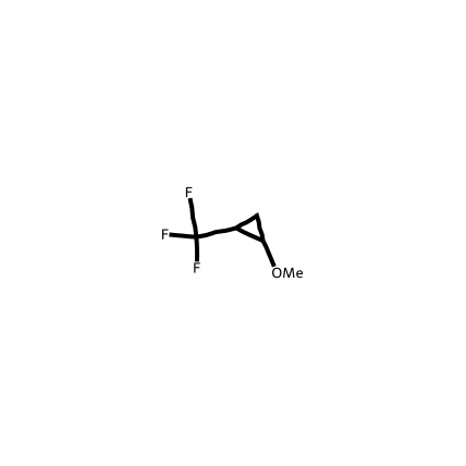 COC1CC1C(F)(F)F